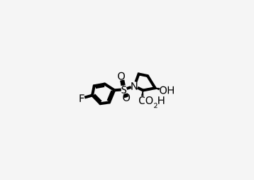 O=C(O)[C@@H]1[C@H](O)CCN1S(=O)(=O)c1ccc(F)cc1